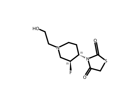 O=C1CSC(=O)N1[C@H]1CCN(CCO)C[C@@H]1F